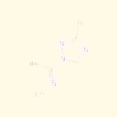 CC(C)(C)/C(=N\O)n1cnc(Br)n1